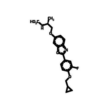 C[C@@H](COc1ccc2nc(-c3ccc(OCC4CC4)c(F)c3)oc2c1)NC(=O)O